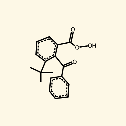 CC(C)(C)c1cccc(C(=O)OO)c1C(=O)c1ccccc1